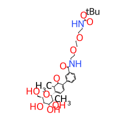 CC1C(=O)C(c2cccc(C(=O)NCCOCCOCCNC(=O)OC(C)(C)C)c2)=CC=C1[C@H]1O[C@H](CO)[C@@H](O)[C@H](O)[C@]1(C)O